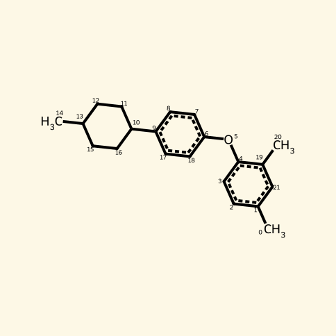 Cc1ccc(Oc2ccc(C3CCC(C)CC3)cc2)c(C)c1